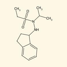 CCS(=O)(=O)N(NC1CCc2ccccc21)C(C)C